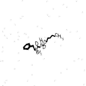 CCCCCCOC(=O)NCC(=O)N(C)CCc1ccccc1